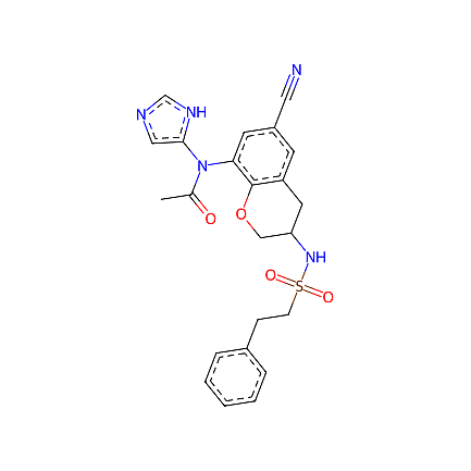 CC(=O)N(c1cnc[nH]1)c1cc(C#N)cc2c1OCC(NS(=O)(=O)CCc1ccccc1)C2